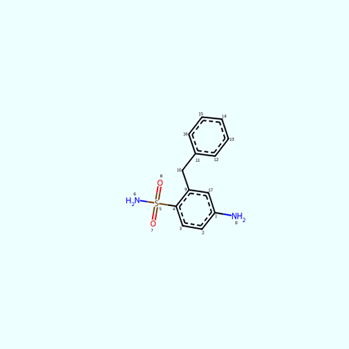 Nc1ccc(S(N)(=O)=O)c(Cc2ccccc2)c1